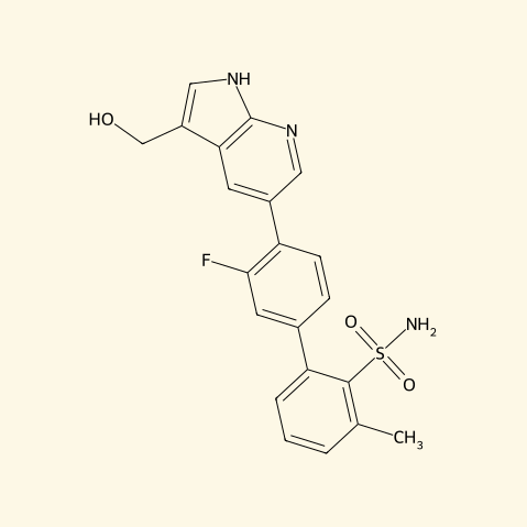 Cc1cccc(-c2ccc(-c3cnc4[nH]cc(CO)c4c3)c(F)c2)c1S(N)(=O)=O